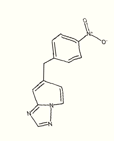 O=[N+]([O-])c1ccc(Cc2ccn3ncnc3c2)cc1